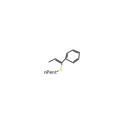 C/C=C(\SCCCCC)c1ccccc1